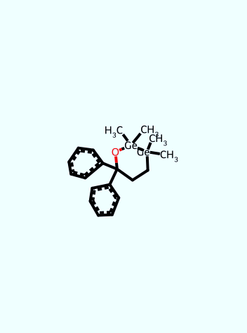 [CH3][Ge]1([CH3])[CH2]CC(c2ccccc2)(c2ccccc2)[O][Ge]1([CH3])[CH3]